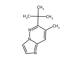 Cc1cc2nccn2nc1C(C)(C)C